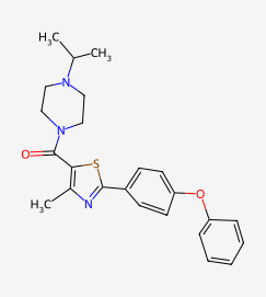 Cc1nc(-c2ccc(Oc3ccccc3)cc2)sc1C(=O)N1CCN(C(C)C)CC1